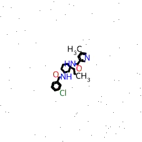 CCCC1(NC(=O)c2cncc(C)c2)CCCC(NC(=O)c2cccc(Cl)c2)C1